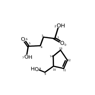 O=C(O)CCC(=O)O.OCC1C=CCC1